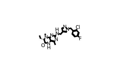 CC[C@H]1C(=O)Nc2c(C)nc(NCc3cnn(Cc4ccc(F)cc4Cl)c3)nc2N1C